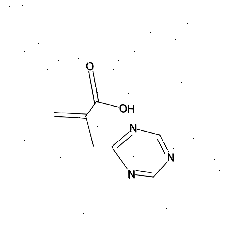 C=C(C)C(=O)O.c1ncncn1